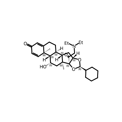 CCN(CC)CC(=O)[C@@]12O[C@H](C3CCCCC3)O[C@H]1C[C@H]1[C@@H]3CCC4=CC(=O)C=C[C@]4(C)[C@H]3[C@@H](O)C[C@@]12C